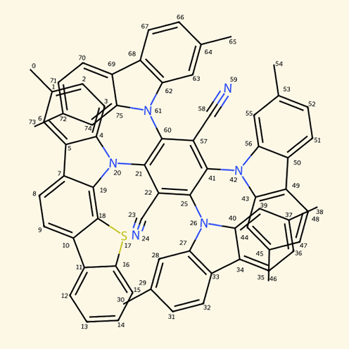 Cc1ccc2c(c1)c1ccc3c4ccccc4sc3c1n2-c1c(C#N)c(-n2c3cc(C)ccc3c3ccc(C)cc32)c(-n2c3cc(C)ccc3c3ccc(C)cc32)c(C#N)c1-n1c2cc(C)ccc2c2ccc(C)cc21